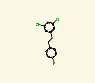 Fc1ccc(CCc2cc(Cl)[c]c(Cl)c2)cc1